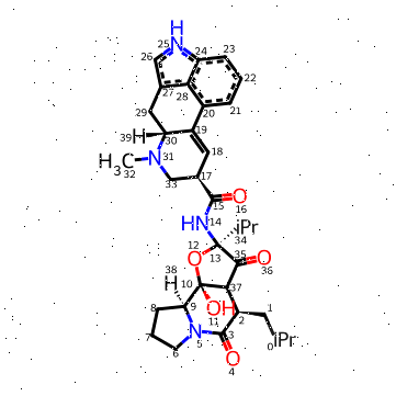 CC(C)C[C@H]1C(=O)N2CCC[C@H]2[C@]2(O)O[C@](NC(=O)[C@@H]3C=C4c5cccc6[nH]cc(c56)C[C@H]4N(C)C3)(C(C)C)C(=O)C12